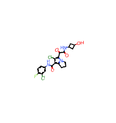 O=C(NC1CC(O)C1)C(=O)c1c(Cl)c(C(=O)Nc2ccc(F)c(Cl)c2)c2n1CCC2